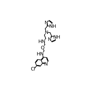 Clc1ccc2c(NCOCNCCN(Cc3ncc[nH]3)Cc3ncc[nH]3)ccnc2c1